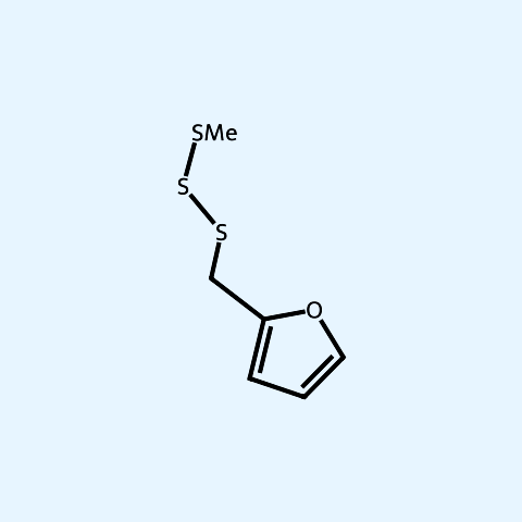 CSSSCc1ccco1